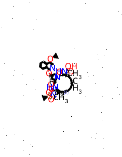 C[C@@H]1CC/C=C\[C@@H]2C[C@@]2(C(=O)N(C)S(=O)(=O)C2CC2)NC(=O)[C@@H]2C[C@@H](Oc3ncc(OC4CC4)c4ccccc34)CN2C(=O)[C@@H](NC(=O)O)[C@H](C)C1